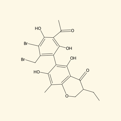 CCC1COc2c(C)c(O)c(-c3c(O)c(C(C)=O)c(O)c(Br)c3CBr)c(O)c2C1=O